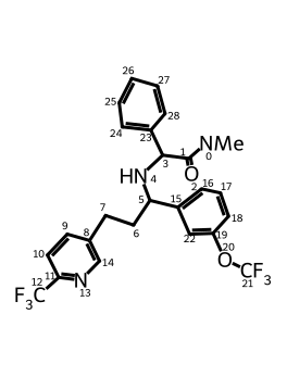 CNC(=O)C(NC(CCc1ccc(C(F)(F)F)nc1)c1cccc(OC(F)(F)F)c1)c1ccccc1